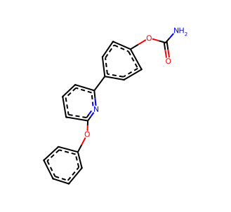 NC(=O)Oc1ccc(-c2cccc(Oc3ccccc3)n2)cc1